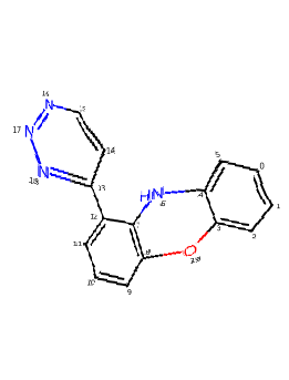 c1ccc2c(c1)Nc1c(cccc1-c1ccnnn1)O2